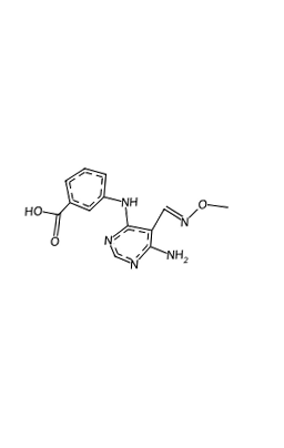 CO/N=C/c1c(N)ncnc1Nc1cccc(C(=O)O)c1